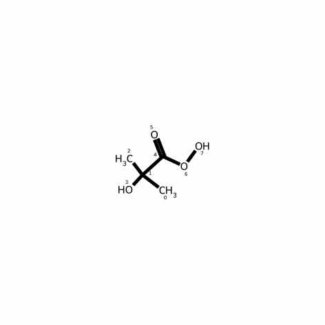 CC(C)(O)C(=O)OO